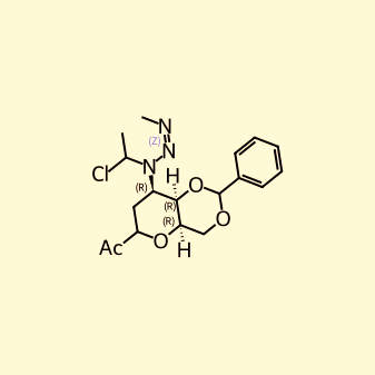 C/N=N\N(C(C)Cl)[C@@H]1CC(C(C)=O)O[C@@H]2COC(c3ccccc3)O[C@H]12